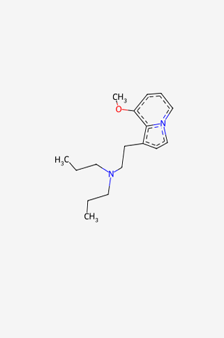 CCCN(CCC)CCc1ccn2cccc(OC)c12